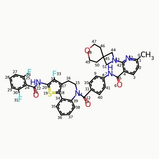 Cc1ccc(C(=O)Nc2ccc(C(=O)N3CCc4c(sc(NC(=O)c5c(F)cccc5F)c4F)-c4ccccc43)cc2)c(N2CC3(CCOCC3)C2)n1